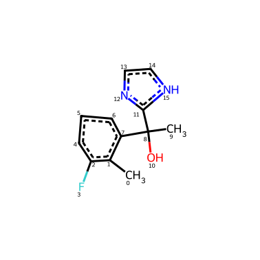 Cc1c(F)cccc1C(C)(O)c1ncc[nH]1